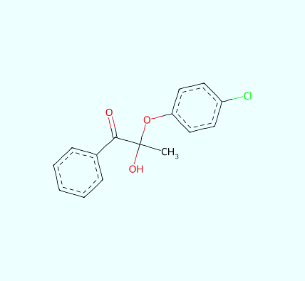 CC(O)(Oc1ccc(Cl)cc1)C(=O)c1ccccc1